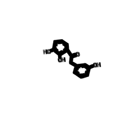 O=C(Cc1cccc(O)c1)c1cccc(O)c1O